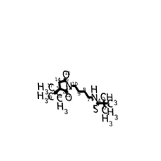 CC(C)(C)C(=S)NCCCCN1C(=O)CC(C(C)(C)C)C1=O